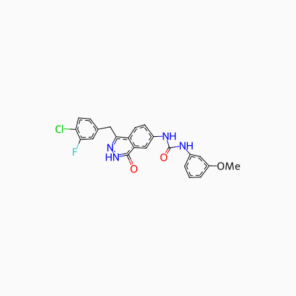 COc1cccc(NC(=O)Nc2ccc3c(Cc4ccc(Cl)c(F)c4)n[nH]c(=O)c3c2)c1